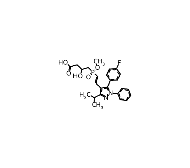 COP(=O)(C=Cc1c(C(C)C)nn(-c2ccccc2)c1-c1ccc(F)cc1)CC(O)CC(=O)O